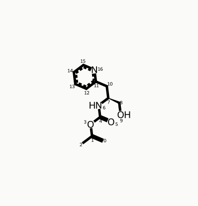 C=C(C)OC(=O)N[C@H](CO)Cc1ccccn1